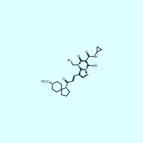 CC(C)Cn1c(=O)c(C(=O)NC2CC2)c(O)n2ncc(/C=C/C(=O)N3CCCC34CCN(C(=O)O)CC4)c12